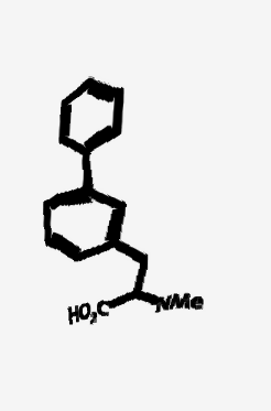 CNC(Cc1cccc(-c2ccccc2)c1)C(=O)O